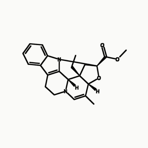 CC[C@@]12C[C@@]3(C(=O)OC)O[C@@H]1C(C)=CN1CCc4c(n3c3ccccc43)[C@@H]12